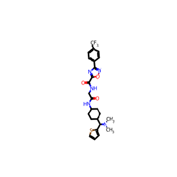 CN(C)C(c1cccs1)C1CCC(NC(=O)CNC(=O)c2nc(-c3ccc(C(F)(F)F)cc3)no2)CC1